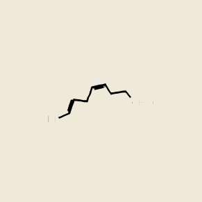 CCC=CC/C=C\CCC=O